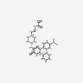 CC(C)c1ccc(-c2nn(C[C@H]3CC[C@H](COCC(=O)O)CC3)c(=O)cc2-c2ccccc2)cc1